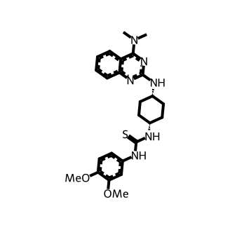 COc1ccc(NC(=S)N[C@H]2CC[C@@H](Nc3nc(N(C)C)c4ccccc4n3)CC2)cc1OC